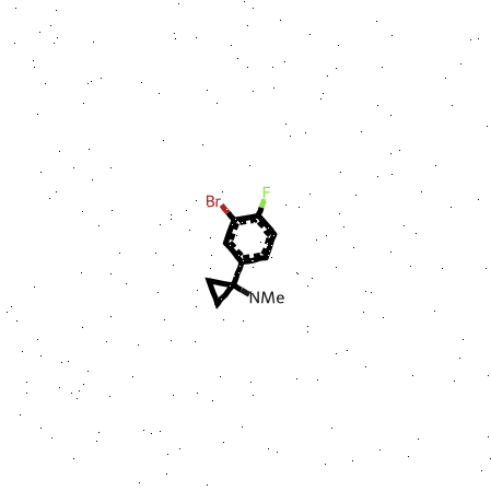 CNC1(c2ccc(F)c(Br)c2)CC1